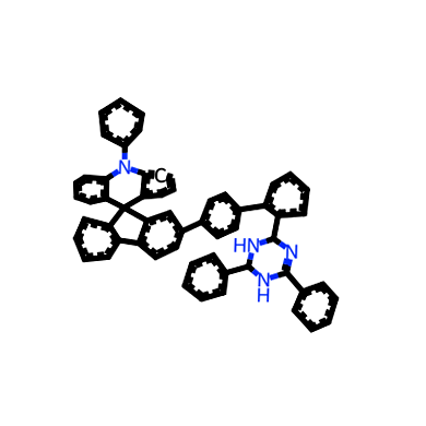 c1ccc(C2=NC(c3ccccc3-c3ccc(-c4ccc5c(c4)C4(c6ccccc6-5)c5ccccc5N(c5ccccc5)c5ccccc54)cc3)NC(c3ccccc3)N2)cc1